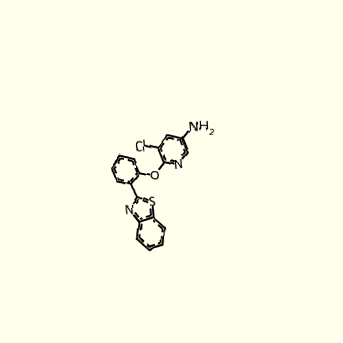 Nc1cnc(Oc2ccccc2-c2nc3ccccc3s2)c(Cl)c1